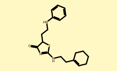 O=C1N=C(NCCC2=CCCCC2)SC1CCNc1ccccc1